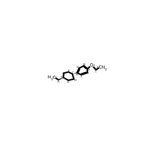 CCOc1ccc([C@H]2CC[C@H](CC)CC2)cc1